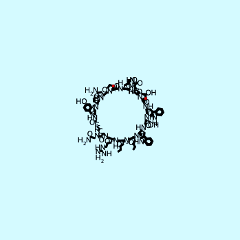 C=C[C@H]1C(=O)N[C@@H](CC(N)=O)C(=O)N2CCC[C@H]2C(=O)N[C@@H](Cc2cnc[nH]2)C(=O)N[C@@H](CCC(=O)O)C(=O)N2C[C@H](O)C[C@H]2C(=O)N[C@@H](Cc2c[nH]c3ccccc23)C(=O)N[C@@H](CO)C(=O)N[C@@H](Cc2c[nH]c3ccccc23)C(=O)N(C)[C@@H](CCCC)C(=O)N(C)[C@@H](CCCC)C(=O)N[C@@H](CCCNC(=N)N)C(=O)N[C@H](C(=O)NCC(N)=O)CSCC(=O)N[C@@H](Cc2ccc(O)cc2)C(=O)N1C